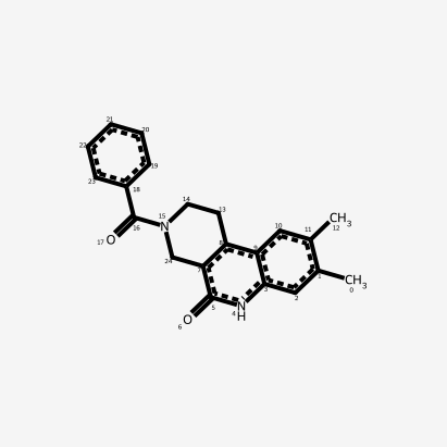 Cc1cc2[nH]c(=O)c3c(c2cc1C)CCN(C(=O)c1ccccc1)C3